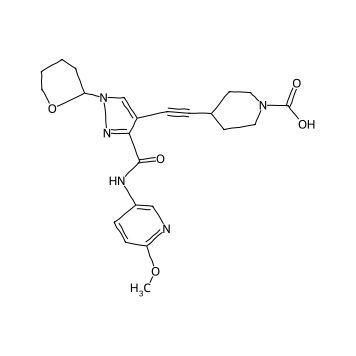 COc1ccc(NC(=O)c2nn(C3CCCCO3)cc2C#CC2CCN(C(=O)O)CC2)cn1